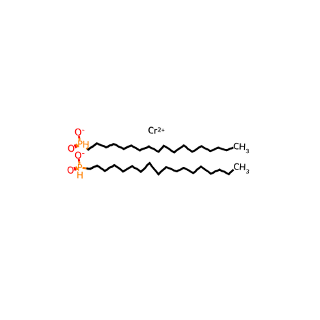 CCCCCCCCCCCCCCCCCC[PH](=O)[O-].CCCCCCCCCCCCCCCCCC[PH](=O)[O-].[Cr+2]